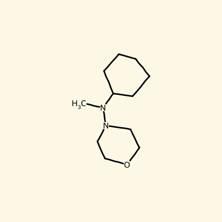 CN(C1CCCCC1)N1CCOCC1